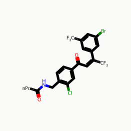 CCCC(=O)NCc1ccc(C(=O)C=C(c2cc(Br)cc(C(F)(F)F)c2)C(F)(F)F)cc1Cl